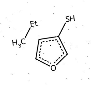 CCC.Sc1ccoc1